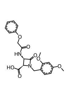 COc1ccc(CN2C(=O)[C@H](NC(=O)COc3ccccc3)[C@@H]2C(=O)O)c(OC)c1